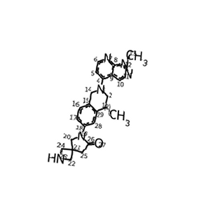 C[C@H]1CN(c2ccnc3c2cnn3C)Cc2ccc(N3CC4(CNC4)CC3=O)cc21